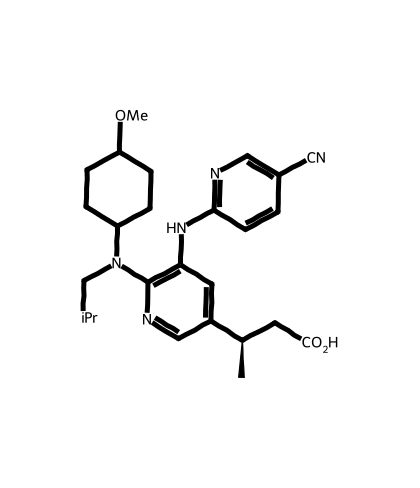 COC1CCC(N(CC(C)C)c2ncc([C@H](C)CC(=O)O)cc2Nc2ccc(C#N)cn2)CC1